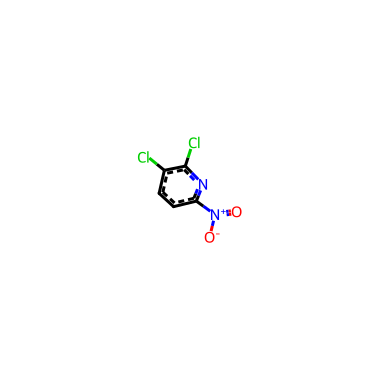 O=[N+]([O-])c1ccc(Cl)c(Cl)n1